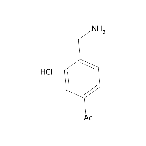 CC(=O)c1ccc(CN)cc1.Cl